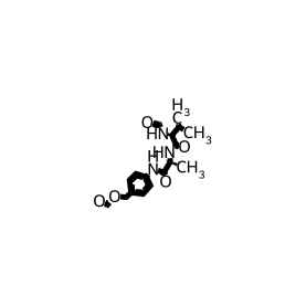 CC(C)[C@H](NC=O)C(=O)N[C@@H](C)C(=O)Nc1ccc(COC=O)cc1